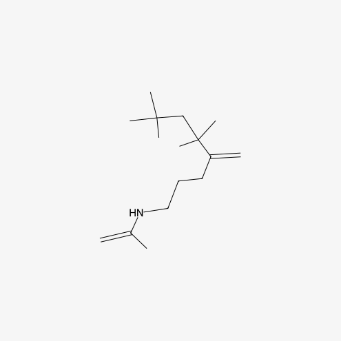 C=C(C)NCCCC(=C)C(C)(C)CC(C)(C)C